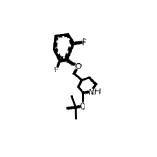 CC(C)(C)OC1[CH]C(COc2c(F)cccc2F)CCN1